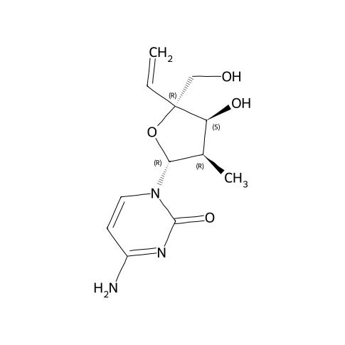 C=C[C@]1(CO)O[C@@H](n2ccc(N)nc2=O)[C@H](C)[C@@H]1O